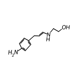 Nc1ccc(CC=CNCCO)cc1